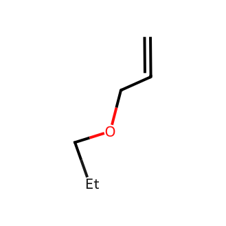 [CH2]CCOCC=C